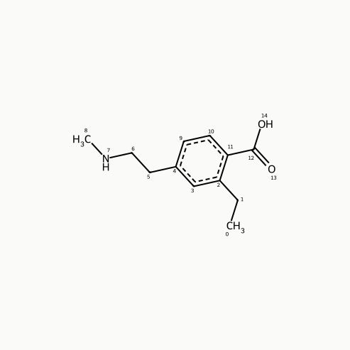 CCc1cc(CCNC)ccc1C(=O)O